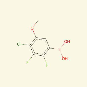 COc1cc(B(O)O)c(F)c(F)c1Cl